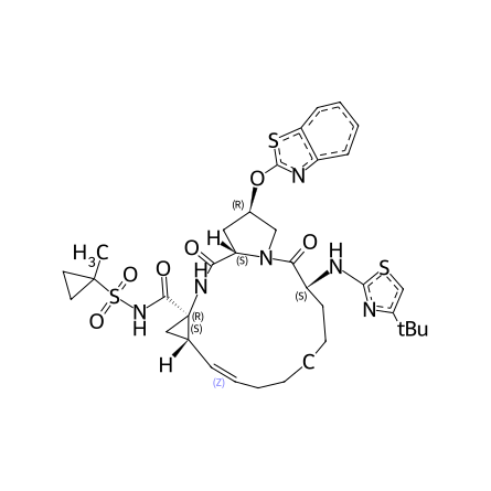 CC(C)(C)c1csc(N[C@H]2CCCCC/C=C\[C@@H]3C[C@@]3(C(=O)NS(=O)(=O)C3(C)CC3)NC(=O)[C@@H]3C[C@@H](Oc4nc5ccccc5s4)CN3C2=O)n1